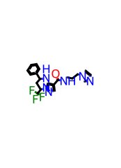 O=C(NCCCn1ccnc1)c1cnn2c1NC(c1ccccc1)CC2C(F)(F)F